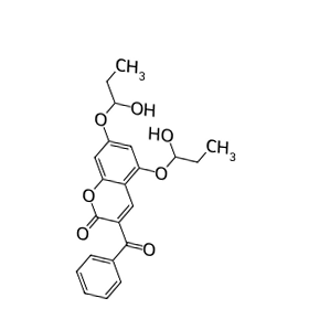 CCC(O)Oc1cc(OC(O)CC)c2cc(C(=O)c3ccccc3)c(=O)oc2c1